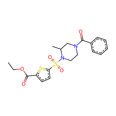 CCOC(=O)c1ccc(S(=O)(=O)N2CCN(C(=O)c3ccccc3)CC2C)s1